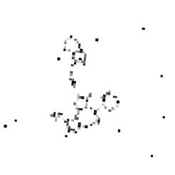 Cc1nnc2n1-c1sc(C#CCn3ncc4ccccc43)cc1C(c1ccccc1Cl)=NC2